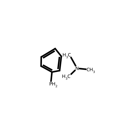 CN(C)C.Pc1ccccc1